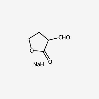 O=CC1CCOC1=O.[NaH]